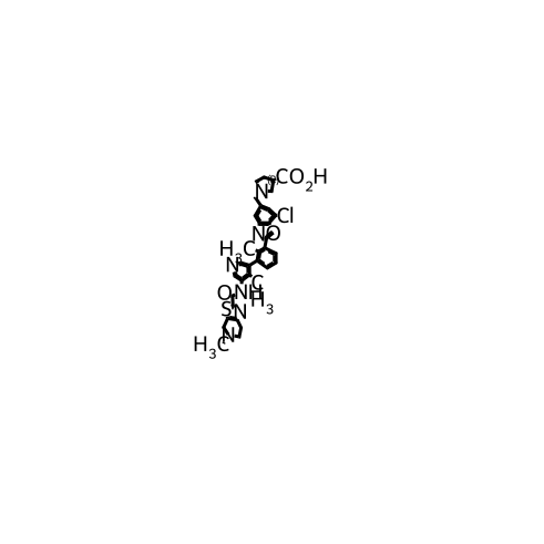 Cc1c(NC(=O)c2nc3c(s2)CN(C)CC3)cncc1-c1cccc(-c2nc3cc(CN4CC[C@@H](C(=O)O)C4)cc(Cl)c3o2)c1C